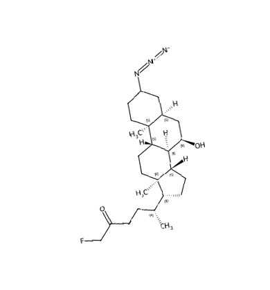 C[C@H](CCC(=O)CF)[C@H]1CC[C@H]2[C@@H]3[C@H](O)C[C@@H]4CC(N=[N+]=[N-])CC[C@]4(C)[C@H]3CC[C@]12C